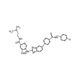 COc1cc(C(=O)NCCN(C)C)ccc1Nc1nc2ccc(-c3ccc(C(=O)NCc4ccc(F)cc4)cc3)cn2n1